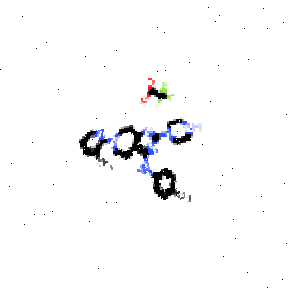 FC(F)(F)c1ccc(Nc2nc(N3CCNCC3)nc3c2CCN(c2ncccc2C(F)(F)F)CC3)cc1.O=C(O)C(F)(F)F